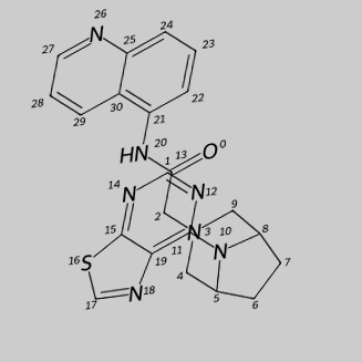 O=C(CN1CC2CCC(C1)N2c1ncnc2scnc12)Nc1cccc2ncccc12